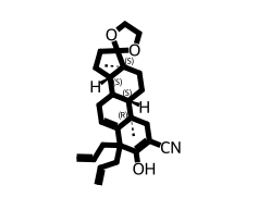 C=CCC1(CC=C)C2=CCC3[C@H](CC[C@@]4(C)[C@H]3CCC43OCCO3)[C@@]2(C)CC(C#N)=C1O